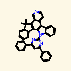 CC1(C)c2ccccc2-c2c1c1cnccc1c1c3ccccc3n(-c3nc(-c4ccccc4)cc(-c4ccccc4)n3)c21